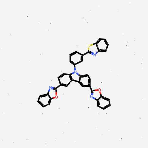 c1cc(-c2nc3ccccc3s2)cc(-n2c3ccc(-c4nc5ccccc5o4)cc3c3cc(-c4nc5ccccc5o4)ccc32)c1